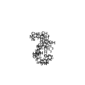 Cc1ncsc1-c1ccc([C@H](C)NC(=O)[C@@H]2C[C@@H](O)CN2C(=O)[C@@H](c2cc(N3C[C@H]4C[C@@H]3CN4C(=O)[C@H]3CCc4sc5nnc(-c6ccccc6O)cc5c4C3)no2)C(C)C)cc1